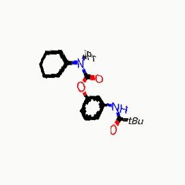 CC(C)N(C(=O)Oc1cccc(NC(=O)C(C)(C)C)c1)C1CCCCC1